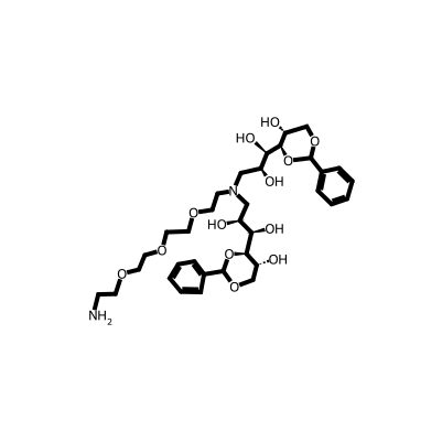 NCCOCCOCCOCCN(C[C@H](O)[C@@H](O)[C@@H]1OC(c2ccccc2)OC[C@H]1O)C[C@H](O)[C@@H](O)[C@@H]1OC(c2ccccc2)OC[C@H]1O